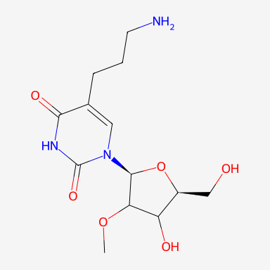 COC1C(O)[C@H](CO)O[C@@H]1n1cc(CCCN)c(=O)[nH]c1=O